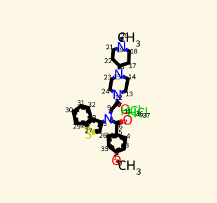 COc1ccc(C(=O)N(CC(=O)N2CCN(C3CCN(C)CC3)CC2)c2csc3ccccc23)cc1.Cl.Cl